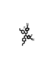 CCCC1CCC(CC(c2ccc(C#N)c(F)c2)C(Cc2ccc(C#N)c(F)c2)C2CCC(CC)CC2)CC1